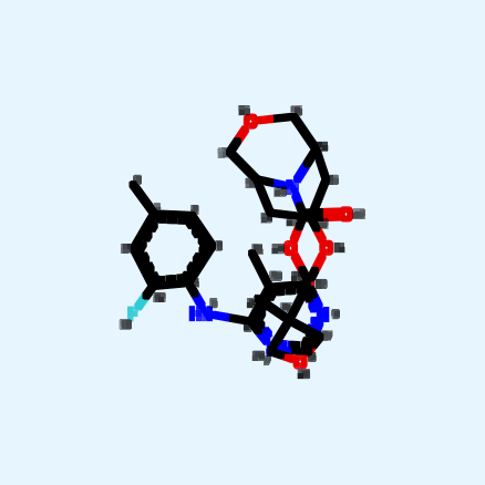 Cc1ccc(Nc2ncnc(OC3CC4COCC(C3)N4C(=O)OCC3(C)COC3)c2C)c(F)c1